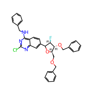 F[C@@H]1C(c2ccc3c(NCc4ccccc4)nc(Cl)nc3c2)O[C@H](COCc2ccccc2)[C@H]1OCc1ccccc1